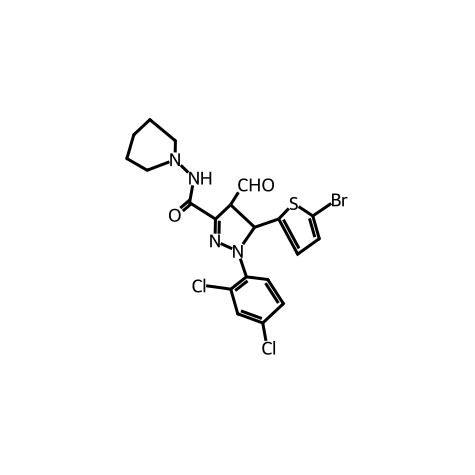 O=CC1C(C(=O)NN2CCCCC2)=NN(c2ccc(Cl)cc2Cl)C1c1ccc(Br)s1